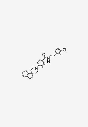 O=C(NCCc1ccc(Cl)s1)c1ccc(N2CCC3(C=Cc4ccccc43)CC2)nn1